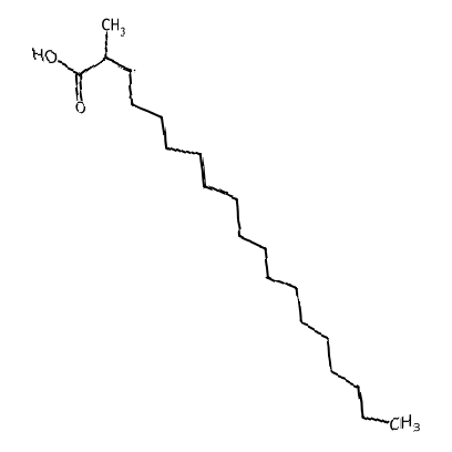 CCCCCCCCCCCCCCCC[CH]C(C)C(=O)O